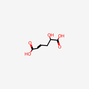 O=C(O)C=CCC(O)C(=O)O